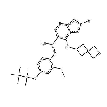 CCc1cc(O[Si](C)(C)C(C)(C)C)ccc1N=C(N)c1cnn2cc(Br)cc2c1NC1CC2(COC2)C1